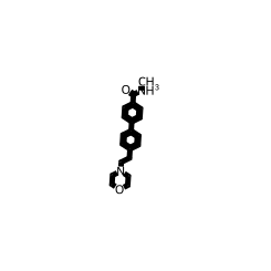 CNC(=O)c1ccc(-c2ccc(CCN3CCOCC3)cc2)cc1